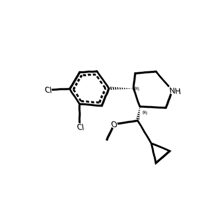 COC(C1CC1)[C@H]1CNCC[C@H]1c1ccc(Cl)c(Cl)c1